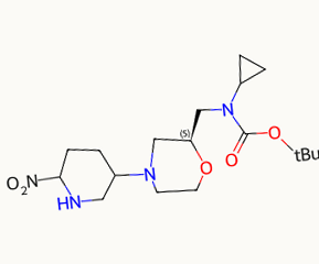 CC(C)(C)OC(=O)N(C[C@@H]1CN(C2CCC([N+](=O)[O-])NC2)CCO1)C1CC1